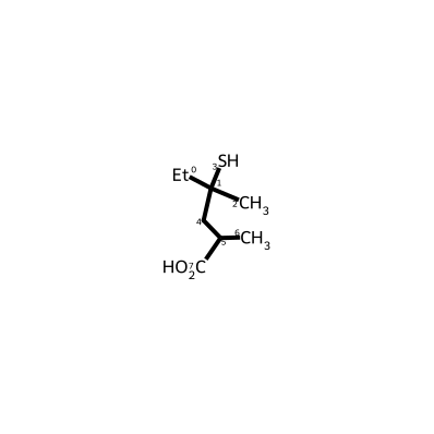 CCC(C)(S)CC(C)C(=O)O